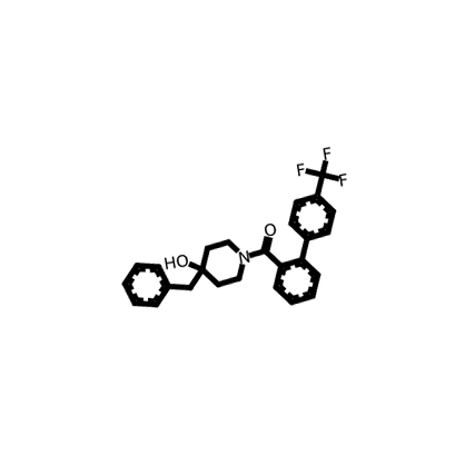 O=C(c1ccccc1-c1ccc(C(F)(F)F)cc1)N1CCC(O)(Cc2ccccc2)CC1